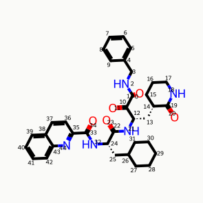 O=C(NCc1ccccc1)C(=O)[C@H](C[C@@H]1CCCNC1=O)NC(=O)[C@H](CC1CCCCC1)NC(=O)c1ccc2ccccc2n1